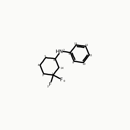 FC1(F)CCCC(Nc2ccccc2)C1